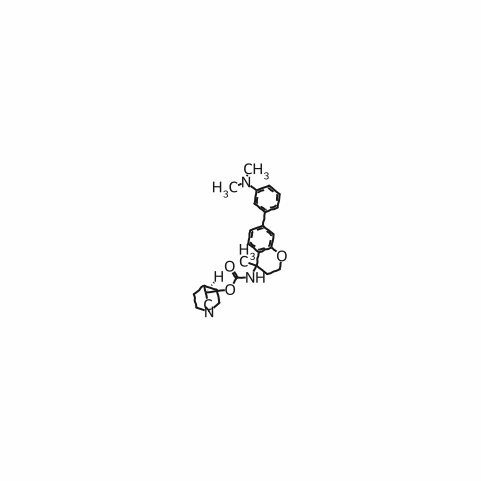 CN(C)c1cccc(-c2ccc3c(c2)OCCC3(C)NC(=O)O[C@H]2CN3CCC2CC3)c1